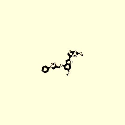 COc1cc(OCc2cn(-c3ccccc3)nn2)c2cc(-c3cnc4sc(OC)nn34)oc2c1